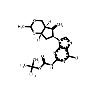 C=C1[C@@H]2COC(C)O[C@H]2C[C@@H]1n1cnc2c(Cl)nc(NC(=O)OC(C)(C)C)nc21